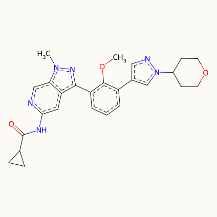 COc1c(-c2cnn(C3CCOCC3)c2)cccc1-c1nn(C)c2cnc(NC(=O)C3CC3)cc12